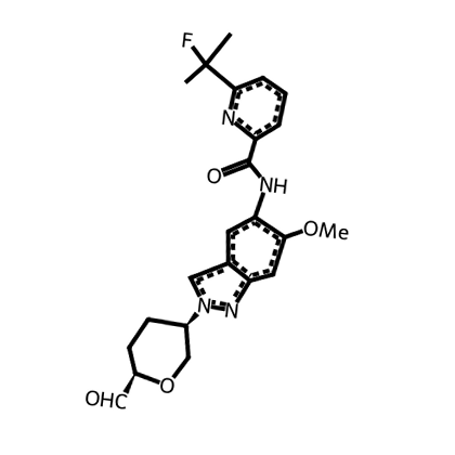 COc1cc2nn([C@@H]3CC[C@H](C=O)OC3)cc2cc1NC(=O)c1cccc(C(C)(C)F)n1